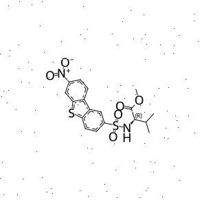 COC(=O)[C@H](NS(=O)(=O)c1ccc2sc3cc([N+](=O)[O-])ccc3c2c1)C(C)C